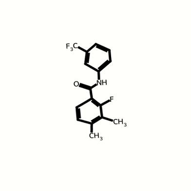 Cc1ccc(C(=O)Nc2cccc(C(F)(F)F)c2)c(F)c1C